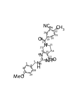 COc1ccc(CNc2nc3c(c(=O)[nH]2)CCN(C(=O)c2ccc(C)c(C#N)c2)C3)cc1